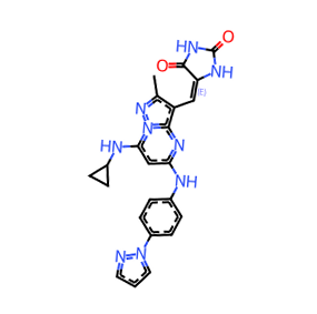 Cc1nn2c(NC3CC3)cc(Nc3ccc(-n4cccn4)cc3)nc2c1/C=C1/NC(=O)NC1=O